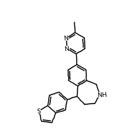 Cc1ccc(-c2ccc3c(c2)CNCCC3c2ccc3sccc3c2)nn1